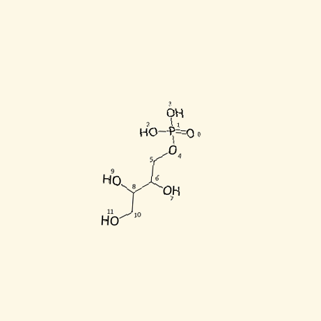 O=P(O)(O)OCC(O)C(O)CO